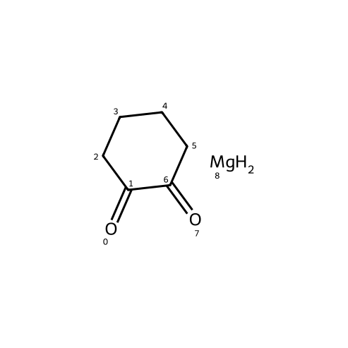 O=C1CCCCC1=O.[MgH2]